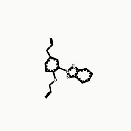 C=CCOc1ccc(CC=C)cc1-n1nc2ccccc2n1